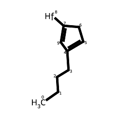 CCCCC1=CC[C]([Hf])=C1